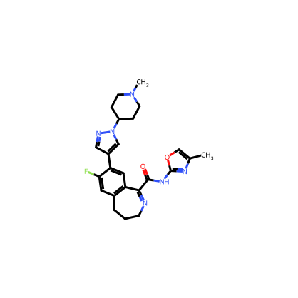 Cc1coc(NC(=O)C2=NCCCc3cc(F)c(-c4cnn(C5CCN(C)CC5)c4)cc32)n1